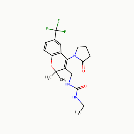 CCNC(=O)NCC1=C(N2CCCC2=O)c2cc(C(F)(F)F)ccc2OC1(C)C